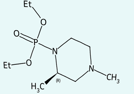 CCOP(=O)(OCC)N1CCN(C)C[C@H]1C